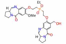 CCOP(=O)(CCOc1cc2c(cc1CO)C(=O)N1CCC[C@H]1C=N2)CCOc1cc2c(cc1OC)C(=O)N1CCC[C@H]1C=N2